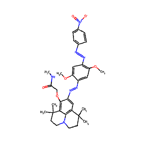 CNC(=O)COc1c(N=Nc2cc(OC)c(N=Nc3ccc([N+](=O)[O-])cc3)cc2OC)cc2c3c1C(C)(C)CCN3CCC2(C)C